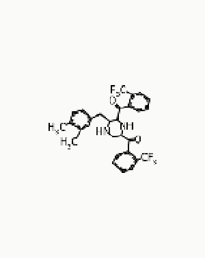 Cc1ccc(CC2NCC(C(=O)c3ccccc3C(F)(F)F)NC2C(=O)c2ccccc2C(F)(F)F)cc1C